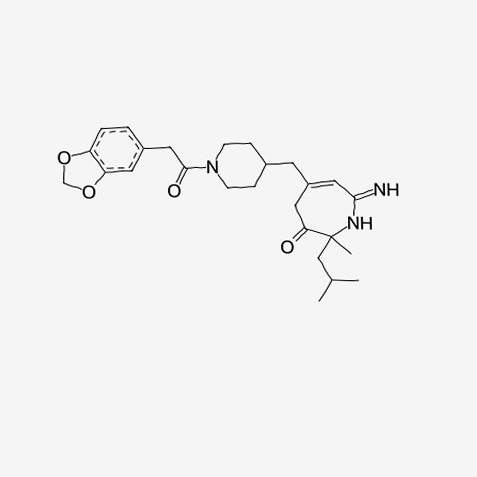 CC(C)CC1(C)NC(=N)C=C(CC2CCN(C(=O)Cc3ccc4c(c3)OCO4)CC2)CC1=O